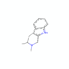 CC1Cc2c([nH]c3ccccc23)CN1C